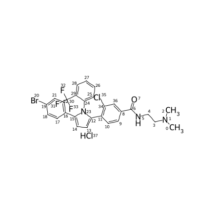 CN(C)CCNC(=O)c1ccc(-c2ccc(-c3ccc(Br)cc3)n2-c2ccccc2C(F)(F)F)c(Cl)c1.Cl